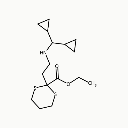 CCOC(=O)C1(CCNC(C2CC2)C2CC2)SCCCS1